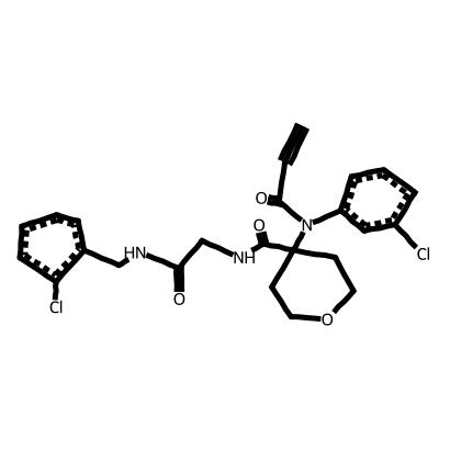 C#CC(=O)N(c1cccc(Cl)c1)C1(C(=O)NCC(=O)NCc2ccccc2Cl)CCOCC1